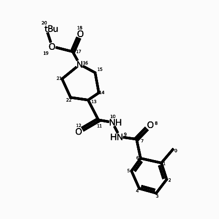 Cc1ccccc1C(=O)NNC(=O)C1CCN(C(=O)OC(C)(C)C)CC1